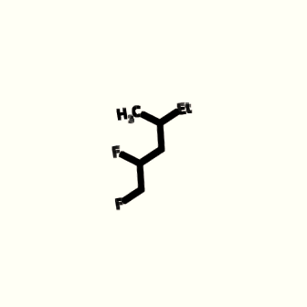 CCC(C)CC(F)CF